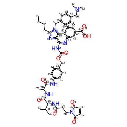 CCCCc1nc2c(NC(=O)OCc3ccc(NC(=O)C(C)NC(=O)C(NC(=O)CCN4C(=O)C=CC4=O)C(C)C)cc3)nc3cc(C(=O)O)ccc3c2n1Cc1ccc(CN(C)C)cc1